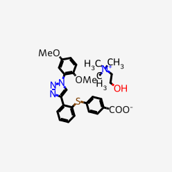 COc1ccc(OC)c(-n2cc(-c3ccccc3Sc3ccc(C(=O)[O-])cc3)nn2)c1.C[N+](C)(C)CCO